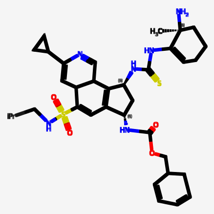 CC(C)CNS(=O)(=O)C1=CC2=C(C3C=NC(C4CC4)=CC13)[C@@H](NC(=S)NC1=CCCC[C@]1(C)N)C[C@@H]2NC(=O)OCC1C=CC=CC1